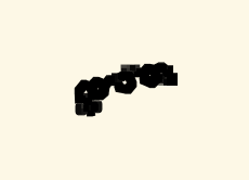 CS(=O)(=O)N1CCCc2cc(CN3CCCC(Nc4ccc5[nH]ncc5c4)C3)ccc21